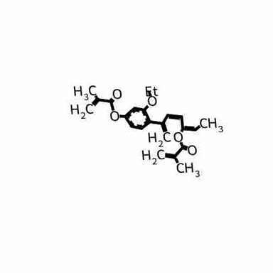 C=C(C)C(=O)OC(/C=C\C(=C)c1ccc(OC(=O)C(=C)C)cc1OCC)=C/C